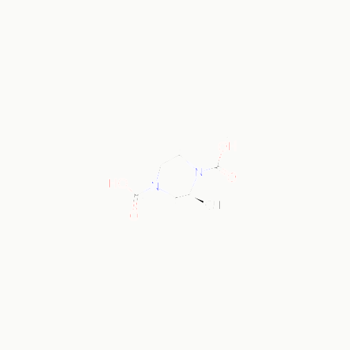 C[C@H]1CN(C(=O)O)CCN1C(=O)O